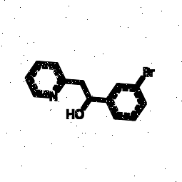 OC(Cc1ccccn1)c1cccc(Br)c1